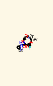 CCCC1CCN(CCC)C(=O)CCCC(=O)NC(C(O)CNCc2cccc(CC)c2)Cc2cc(F)cc(c2)OC1